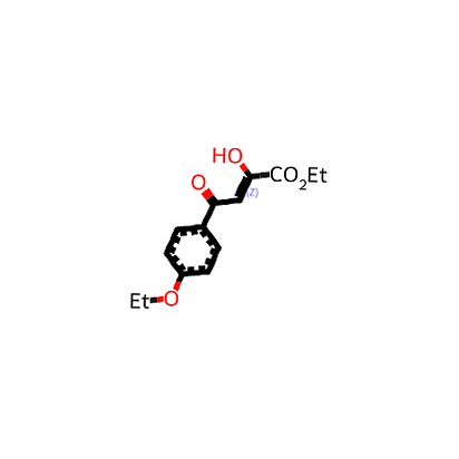 CCOC(=O)/C(O)=C/C(=O)c1ccc(OCC)cc1